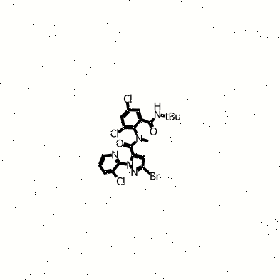 CN(C(=O)c1cc(Br)nn1-c1ncccc1Cl)c1c(Cl)cc(Cl)cc1C(=O)NC(C)(C)C